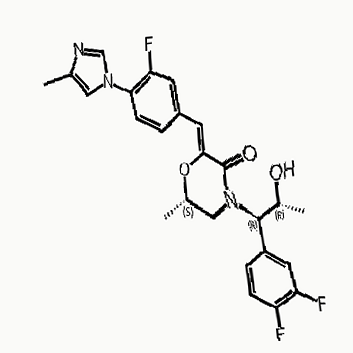 Cc1cn(-c2ccc(C=C3O[C@@H](C)CN([C@H](c4ccc(F)c(F)c4)[C@@H](C)O)C3=O)cc2F)cn1